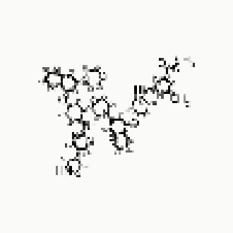 COC(=O)c1cc(C)nc(N[C@H]2CC[C@@H](Oc3cc(N4CCOC(C5C[C@@H](Oc6cc(N7CCOCC7)cc7nccnc67)CC[C@H]5Nc5ncc(C6CCNC6)cn5)C4)cc4nccnc34)CC2)n1